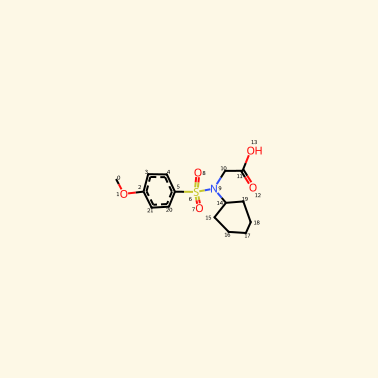 COc1ccc(S(=O)(=O)N(CC(=O)O)C2CCCCC2)cc1